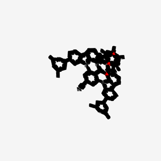 Cc1cc(C)cc(-c2ccc3c4ccc(-c5cc(C)cc(C)c5)cc4n(-c4cc(C#N)cc(-n5c6cc(-c7cc(C)cc(C)c7)ccc6c6ccc(-c7cc(C)cc(C)c7)cc65)c4-c4nc(C)nc(C)n4)c3c2)c1